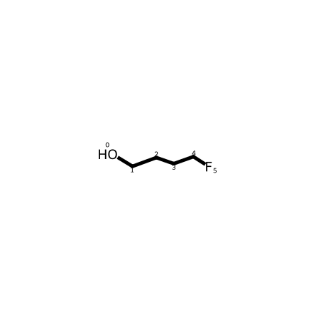 OCCCCF